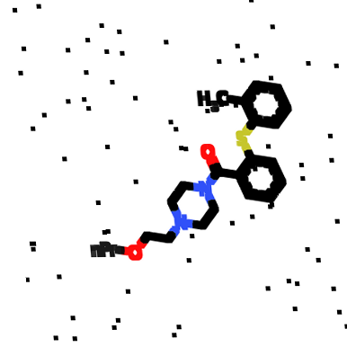 CCCOCCN1CCN(C(=O)c2ccccc2Sc2ccccc2C)CC1